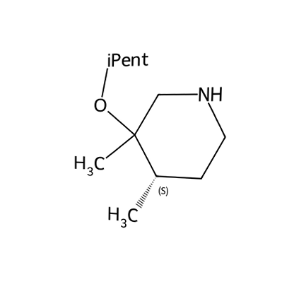 CCCC(C)OC1(C)CNCC[C@@H]1C